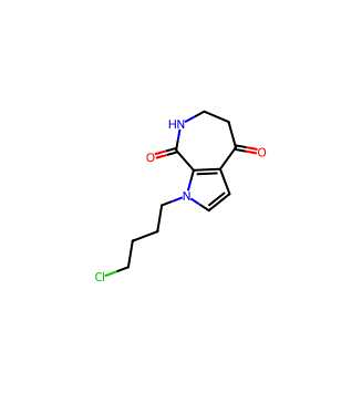 O=C1CCNC(=O)c2c1ccn2CCCCCl